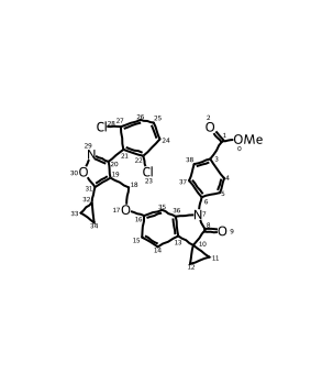 COC(=O)c1ccc(N2C(=O)C3(CC3)c3ccc(OCc4c(-c5c(Cl)cccc5Cl)noc4C4CC4)cc32)cc1